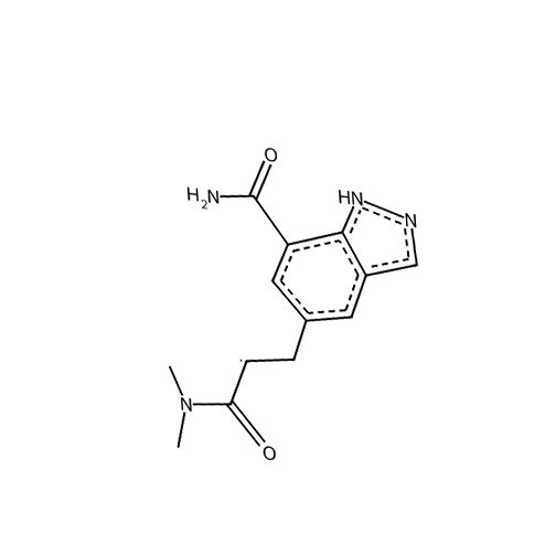 CN(C)C(=O)[CH]Cc1cc(C(N)=O)c2[nH]ncc2c1